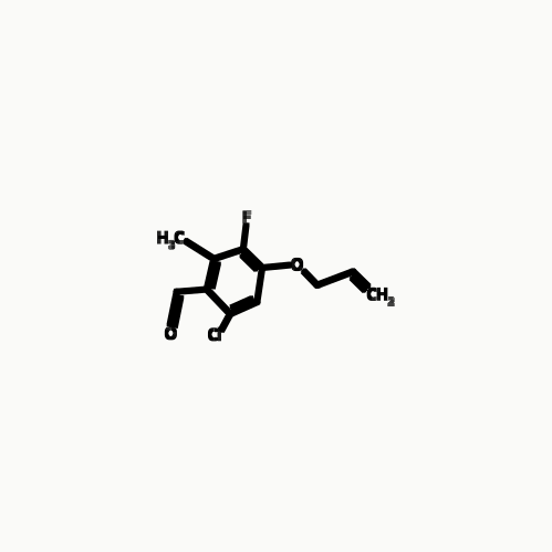 C=CCOc1cc(Cl)c(C=O)c(C)c1F